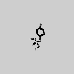 CCOP(=S)(OCC)Oc1ccc(Br)cc1